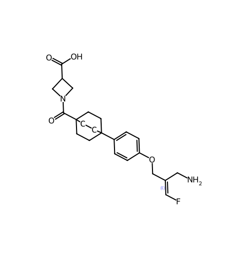 NC/C(=C\F)COc1ccc(C23CCC(C(=O)N4CC(C(=O)O)C4)(CC2)CC3)cc1